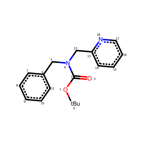 CC(C)(C)OC(=O)N(Cc1cc[c]cc1)Cc1ccccn1